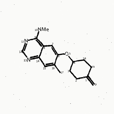 C=C1CCC(Oc2cc3c(NC)ncnc3cc2C)CC1